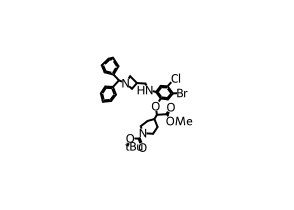 COC(=O)C(Oc1cc(Br)c(Cl)cc1NCC1CN(C(c2ccccc2)c2ccccc2)C1)C1CCN(C(=O)OC(C)(C)C)CC1